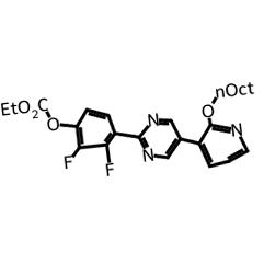 CCCCCCCCOc1ncccc1-c1cnc(-c2ccc(OC(=O)OCC)c(F)c2F)nc1